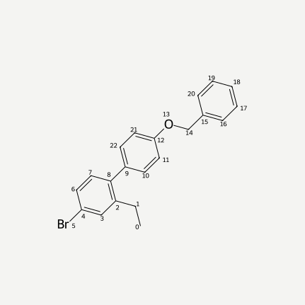 CCc1cc(Br)ccc1-c1ccc(OCc2ccccc2)cc1